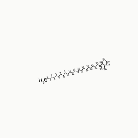 CCCCCCCCCCCCCCCCCCCCCCCCC1=CC=C2C=CCC=C21